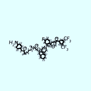 CN(CCCN(C)C(=O)Cc1ccc(N)cc1)C(=O)CO[C@H]1Cc2ccccc2C12CCN(CC[C@]1(c3ccc(F)cc3)CN(C(=O)c3cc(C(F)(F)F)cc(C(F)(F)F)c3)CO1)CC2